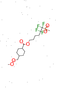 COOCC1CCC(C(=O)OCCCCC(F)(F)C(F)(F)S(C)(=O)=O)CC1